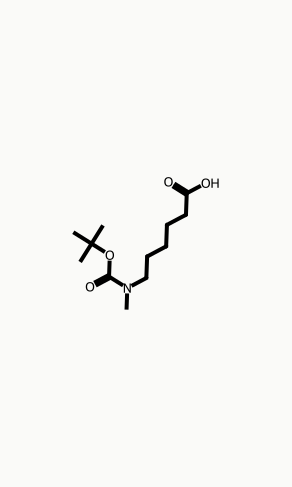 CN(CCCCCC(=O)O)C(=O)OC(C)(C)C